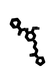 COC1CN(CCCC(=O)N2CCCC2)CCC1NC(=O)c1ccccc1